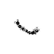 N#Cc1ccc(O[C@H]2CC[C@H](NC(=O)c3cnc(N4CC[C@@H](CN5CCN(c6ccc7c(c6)C(=O)N(C6CCC(=O)NC6=O)C7=O)CC5)C4)nc3)CC2)cc1Cl